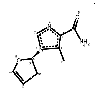 Cc1c(C(N)=O)ncn1[C@H]1CC=CO1